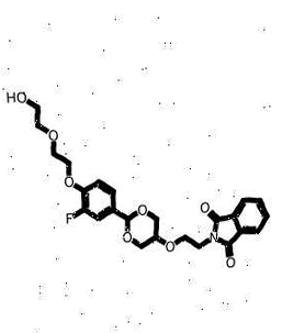 O=C1c2ccccc2C(=O)N1CCOC1COC(c2ccc(OCCOCCO)c(F)c2)OC1